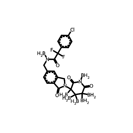 BN(Cc1ccc2c(c1)CN(C1(B)C(=O)N(B)C(=O)C(B)(B)C1(B)B)C2=O)C(=O)C(F)(F)c1ccc(Cl)cc1